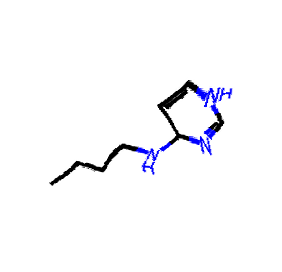 CCCCN[C]1C=CNC=N1